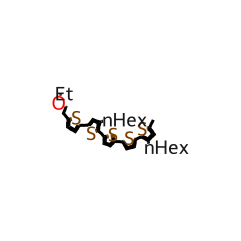 CCCCCCc1cc(C)sc1-c1ccc(-c2ccc(-c3sc(-c4ccc(CCOCC)s4)cc3CCCCCC)s2)s1